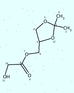 CC1(C)OCC(COC(=O)CO)O1